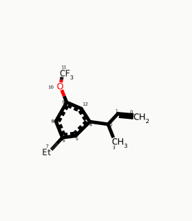 C=C[C](C)c1cc(CC)cc(OC(F)(F)F)c1